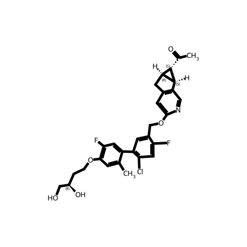 CC(=O)[C@H]1[C@@H]2Cc3cc(OCc4cc(-c5cc(F)c(OCC[C@@H](O)CO)cc5C)c(Cl)cc4F)ncc3[C@@H]21